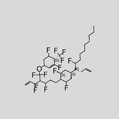 C=CC[C@@H](C(F)CCCCCCCC)[C@H]1CC(F)C(CCC(F)C([C@@H](F)C=C)C(F)(F)OC2C=C(F)[C@@H](C(F)(F)F)C(F)C2)[C@@H](F)C1